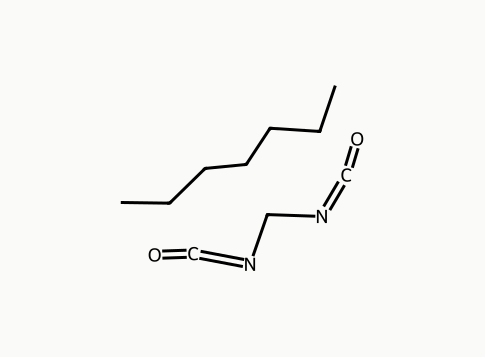 CCCCCCC.O=C=NCN=C=O